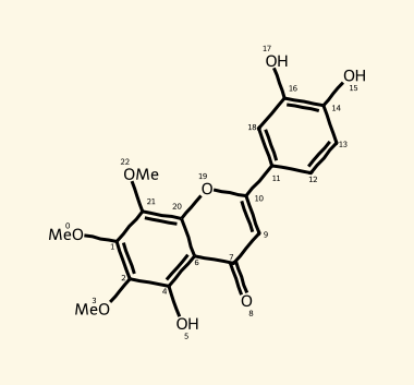 COc1c(OC)c(O)c2c(=O)cc(-c3ccc(O)c(O)c3)oc2c1OC